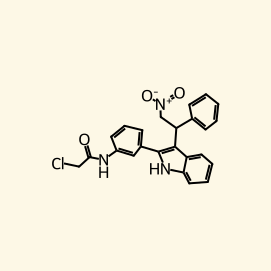 O=C(CCl)Nc1cccc(-c2[nH]c3ccccc3c2C(C[N+](=O)[O-])c2ccccc2)c1